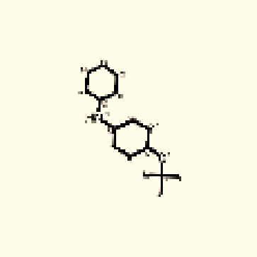 CC(C)(C)OC1CCC(NC2CCCCC2)CC1